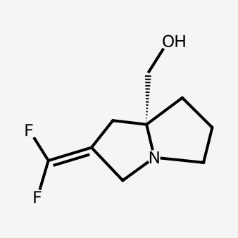 OC[C@]12CCCN1CC(=C(F)F)C2